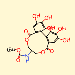 CC(C)(C)OC(=O)NC1COC(=O)c2cc(O)c(O)c(O)c2-c2c(cc(O)c(O)c2O)C(=O)OC1